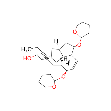 CCC#CC[C@H](C)[C@@H](/C=C\[C@@H]1[C@H]2CC(=CCO)C[C@H]2C[C@H]1OC1CCCCO1)OC1CCCCO1